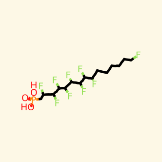 O=P(O)(O)CC(F)C(F)C(F)C(F)C(F)C(F)C(F)C(F)CCCCCCF